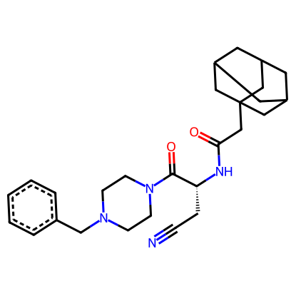 N#CC[C@@H](NC(=O)CC12CC3CC(CC(C3)C1)C2)C(=O)N1CCN(Cc2ccccc2)CC1